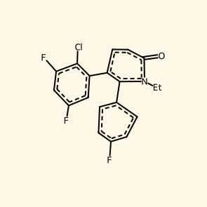 CCn1c(-c2ccc(F)cc2)c(-c2cc(F)cc(F)c2Cl)ccc1=O